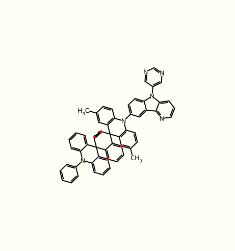 Cc1ccc2c(c1)C1(c3cc(C)ccc3N2c2ccc3c(c2)c2ncccc2n3-c2cncnc2)c2ccccc2C2(c3ccccc3N(c3ccccc3)c3ccccc32)c2ccccc21